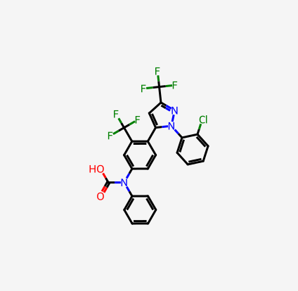 O=C(O)N(c1ccccc1)c1ccc(-c2cc(C(F)(F)F)nn2-c2ccccc2Cl)c(C(F)(F)F)c1